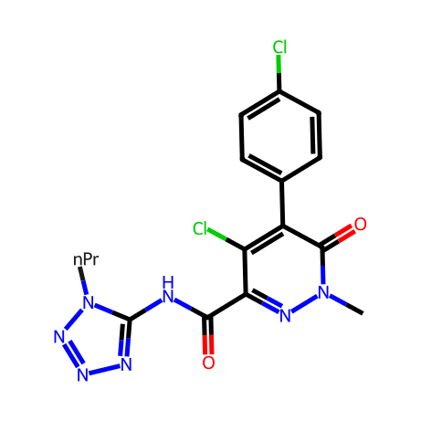 CCCn1nnnc1NC(=O)c1nn(C)c(=O)c(-c2ccc(Cl)cc2)c1Cl